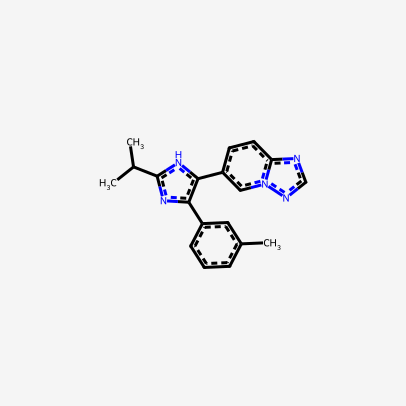 Cc1cccc(-c2nc(C(C)C)[nH]c2-c2ccc3ncnn3c2)c1